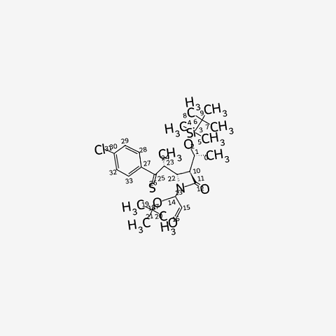 C[C@@H](O[Si](C)(C)C(C)(C)C)[C@H]1C(=O)N(C(C=O)OC(C)(C)C)[C@@H]1[C@@H](C)C(=S)c1ccc(Cl)cc1